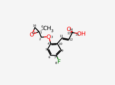 C[C@@]1(COc2ccc(F)cc2/C=C/C(=O)O)CO1